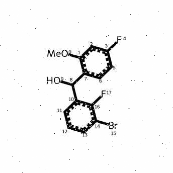 COc1cc(F)ccc1C(O)c1cccc(Br)c1F